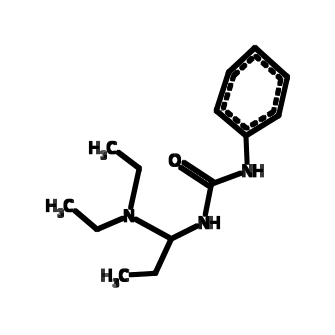 CCC(NC(=O)Nc1ccccc1)N(CC)CC